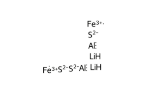 [Al].[Al].[Fe+3].[Fe+3].[LiH].[LiH].[S-2].[S-2].[S-2]